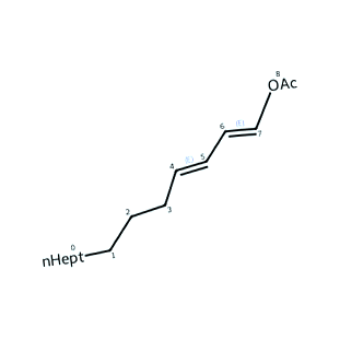 CCCCCCCCCC/C=C/C=C/OC(C)=O